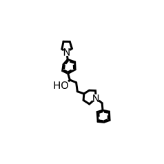 OC(CCC1CCN(Cc2ccccc2)CC1)c1ccc(N2CCCC2)cc1